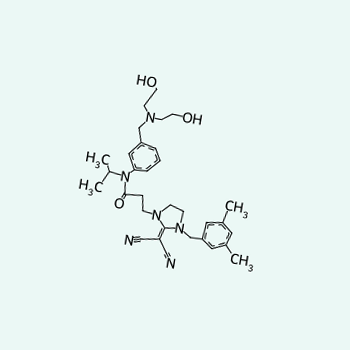 Cc1cc(C)cc(CN2CCN(CCC(=O)N(c3cccc(CN(CCO)CCO)c3)C(C)C)C2=C(C#N)C#N)c1